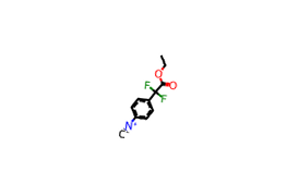 [C-]#[N+]c1ccc(C(F)(F)C(=O)OCC)cc1